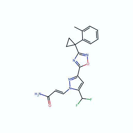 Cc1ccccc1C1(c2noc(-c3cc(C(F)F)n(C=CC(N)=O)n3)n2)CC1